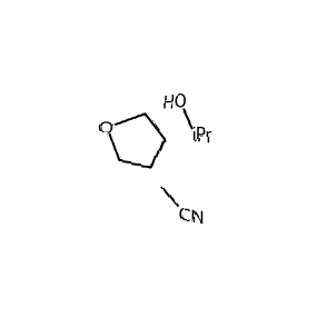 C1CCOC1.CC#N.CC(C)O